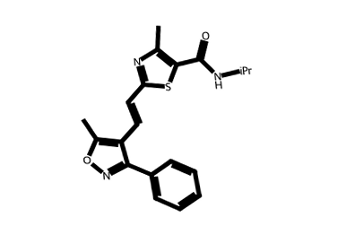 Cc1nc(/C=C/c2c(-c3ccccc3)noc2C)sc1C(=O)NC(C)C